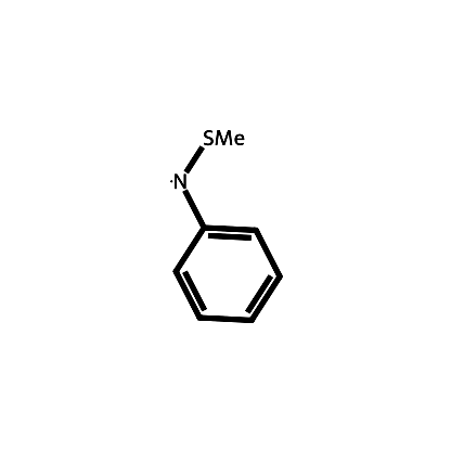 CS[N]c1ccccc1